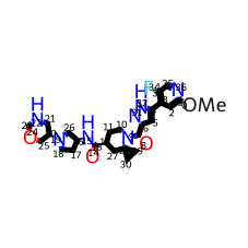 COc1cc(-c2cc(C(=O)N3CC[C@H](C(=O)N[C@@H]4CCN([C@H]5CNCOC5)C4)CC34CC4)n[nH]2)c(F)cn1